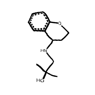 CC(C)(O)CNC1CCOc2ccccc21